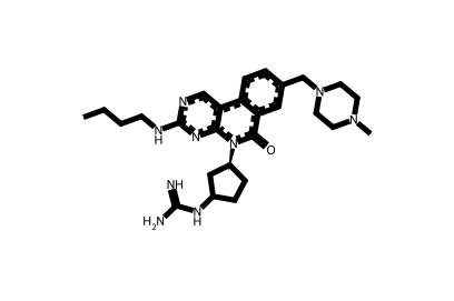 CCCCNc1ncc2c3ccc(CN4CCN(C)CC4)cc3c(=O)n([C@H]3CCC(NC(=N)N)C3)c2n1